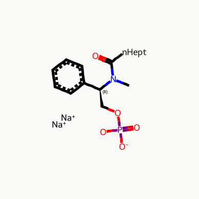 CCCCCCCC(=O)N(C)[C@@H](COP(=O)([O-])[O-])c1ccccc1.[Na+].[Na+]